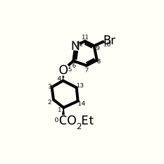 CCOC(=O)[C@H]1CC[C@H](Oc2ccc(Br)cn2)CC1